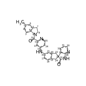 Cc1ccc2c(c1)CCN2C(=O)c1cc(Nc2ccc3c(c2)CC2(C3)C(=O)Nc3ncccc32)ccn1